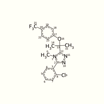 Cn1c(-c2ccccc2Cl)nnc1C(C)(C)Oc1ccc(C(F)(F)F)cc1